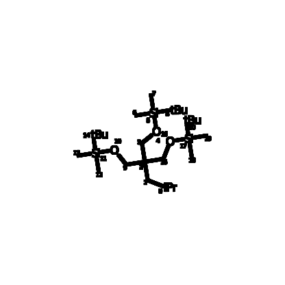 CC(C)CC(CO[Si](C)(C)C(C)(C)C)(CO[Si](C)(C)C(C)(C)C)CO[Si](C)(C)C(C)(C)C